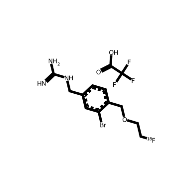 N=C(N)NCc1ccc(COCC[18F])c(Br)c1.O=C(O)C(F)(F)F